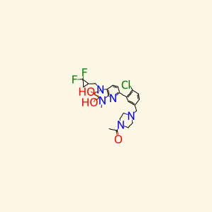 CC(=O)N1CCN(Cc2ccc(Cl)c(-c3ccc4c(n3)N(C)S(O)(O)N4CC3CC3(F)F)c2)CC1